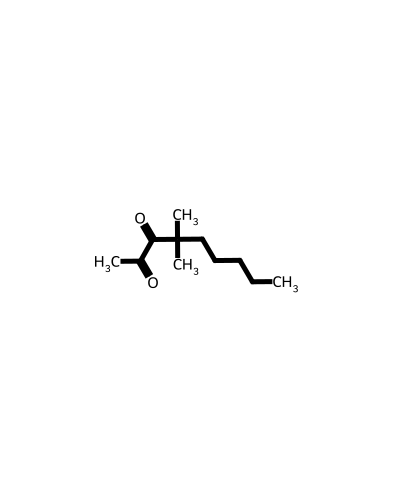 CCCCCC(C)(C)C(=O)C(C)=O